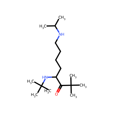 CC(C)NCCCCC(NC(C)(C)C)C(=O)C(C)(C)C